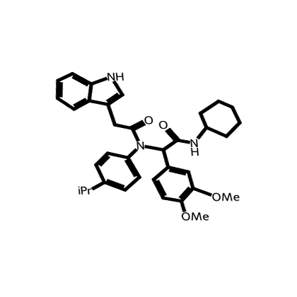 COc1ccc(C(C(=O)NC2CCCCC2)N(C(=O)Cc2c[nH]c3ccccc23)c2ccc(C(C)C)cc2)cc1OC